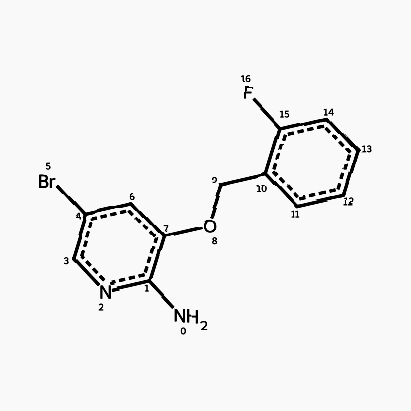 Nc1ncc(Br)cc1OCc1ccccc1F